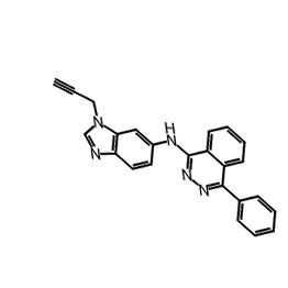 C#CCn1cnc2ccc(Nc3nnc(-c4ccccc4)c4ccccc34)cc21